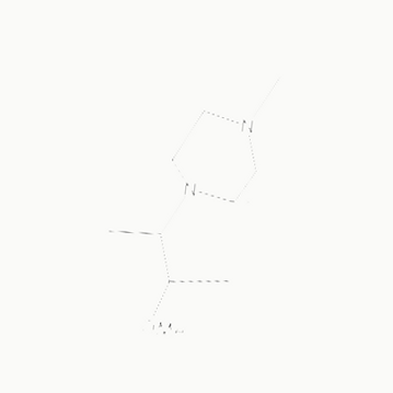 COC(C)C(C)N1CCN(C)C[C@@H]1C